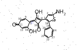 Nc1cc(C2=C(O)/C(=C3\C=CC(=O)C=C3O)C2=O)c(-c2ccccc2)s1